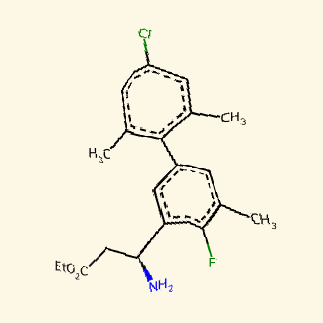 CCOC(=O)C[C@H](N)c1cc(-c2c(C)cc(Cl)cc2C)cc(C)c1F